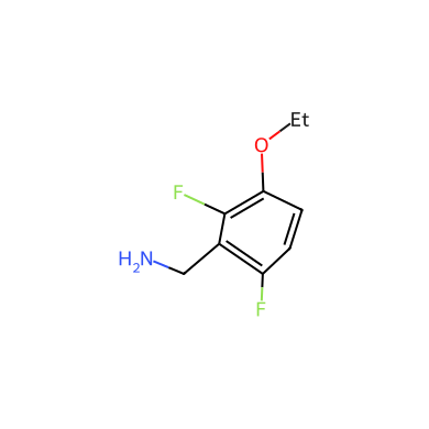 CCOc1ccc(F)c(CN)c1F